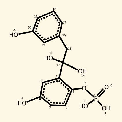 O=P(O)(O)Oc1ccc(O)cc1C(O)(O)Cc1cccc(O)c1